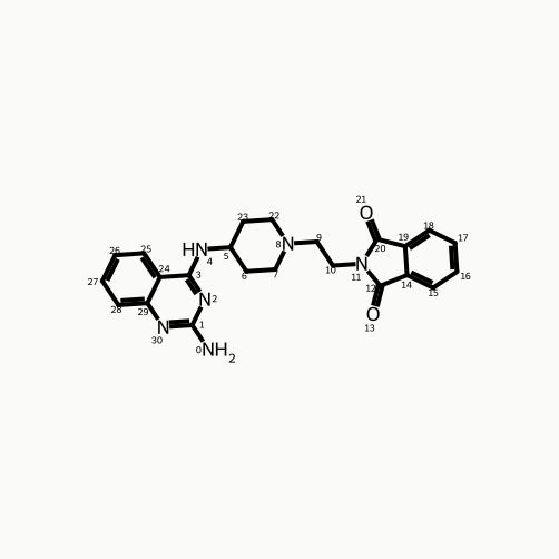 Nc1nc(NC2CCN(CCN3C(=O)c4ccccc4C3=O)CC2)c2ccccc2n1